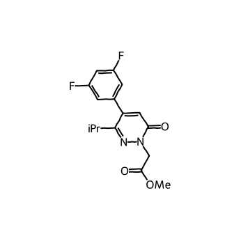 COC(=O)Cn1nc(C(C)C)c(-c2cc(F)cc(F)c2)cc1=O